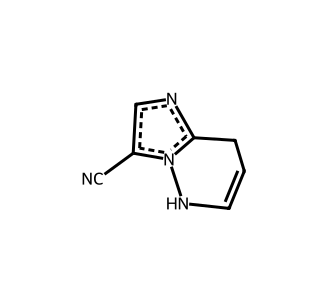 N#Cc1cnc2n1NC=CC2